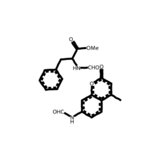 COC(=O)C(Cc1ccccc1)NC=O.Cc1cc(=O)oc2cc(NC=O)ccc12